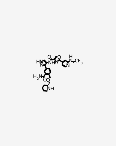 NC(=O)c1cc(-c2n[nH]cc2NC(=O)c2coc(-c3ccnc(NCC(F)(F)F)c3)n2)ccc1COC[C@@H]1CCCCN1